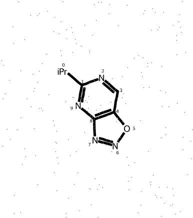 CC(C)c1ncc2onnc2n1